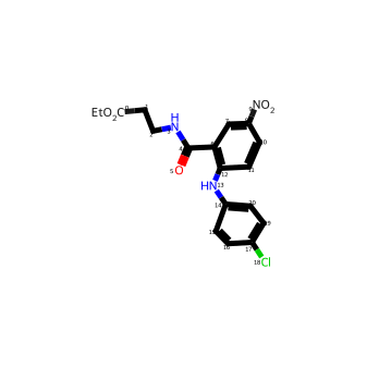 CCOC(=O)CCNC(=O)c1cc([N+](=O)[O-])ccc1Nc1ccc(Cl)cc1